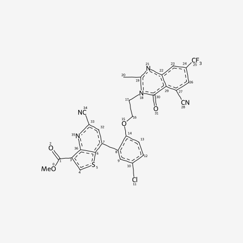 COC(=O)c1csc2c(-c3cc(Cl)ccc3OCCn3c(C)nc4cc(C(F)(F)F)cc(C#N)c4c3=O)cc(C#N)nc12